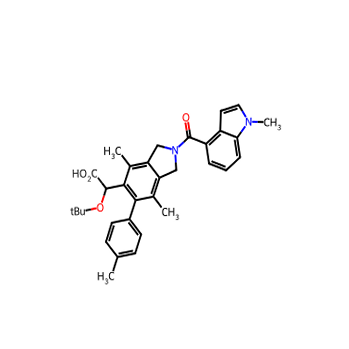 Cc1ccc(-c2c(C)c3c(c(C)c2C(OC(C)(C)C)C(=O)O)CN(C(=O)c2cccc4c2ccn4C)C3)cc1